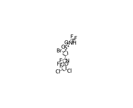 O=C(C[S+]([O-])c1ccc(C2=NOC(c3cc(Cl)cc(Cl)c3)(C(F)(F)F)C2)cc1Br)NCC(F)(F)F